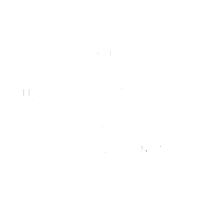 C=CCC(C)C(=O)C(C(=O)S)C(C)NC(C)=O